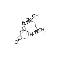 CO[C@H]1/C=C/CCC(CCO)S(=O)(=O)NC(=O)c2ccc3c(c2)N(CCCCc2cc(Cl)ccc2CO3)C[C@@H]2CC[C@H]21